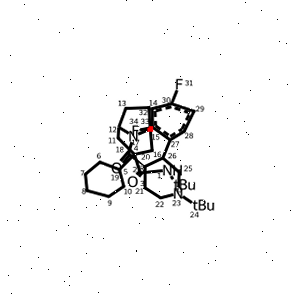 CC(C)(C)NC(=O)C1(C2CCCCC2)CC2CCC(C1)N2C(=O)[C@@H]1CCN(C(C)(C)C)CC1c1ccc(F)cc1F